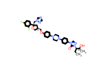 CCC([C@H](C)O)n1ncn(-c2ccc(N3CCN(c4ccc(OC[C@H]5CO[C@](Cn6cncn6)(c6ccc(F)cc6F)C5)cc4)CC3)cc2)c1=O